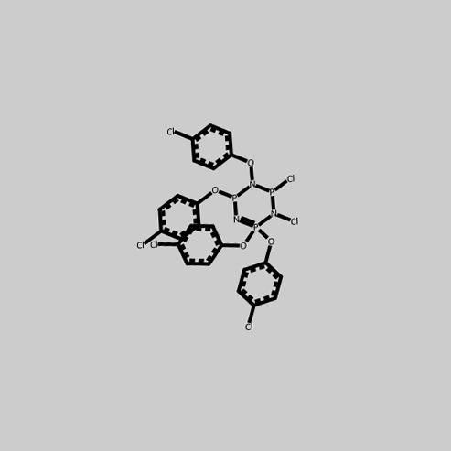 Clc1ccc(ON2P(Oc3ccc(Cl)cc3)N=P(Oc3ccc(Cl)cc3)(Oc3ccc(Cl)cc3)N(Cl)P2Cl)cc1